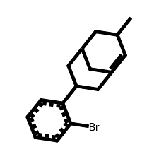 CC1C=C2CC(C1)CC(c1ccccc1Br)C2